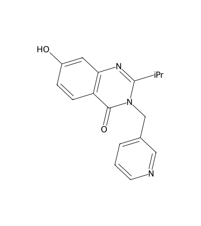 CC(C)c1nc2cc(O)ccc2c(=O)n1Cc1cccnc1